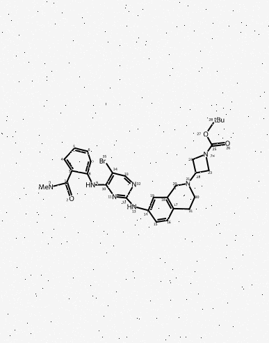 CNC(=O)c1ccccc1Nc1nc(Nc2ccc3c(c2)CN(C2CN(C(=O)OC(C)(C)C)C2)CC3)ncc1Br